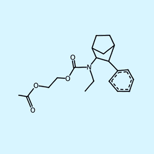 CCN(C(=O)OCCOC(C)=O)C1C2CCC(C2)C1c1ccccc1